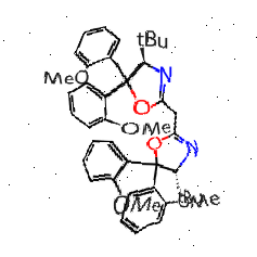 COc1ccccc1C1(c2ccccc2OC)OC(CC2=N[C@H](C(C)(C)C)C(c3ccccc3OC)(c3ccccc3OC)O2)=N[C@@H]1C(C)(C)C